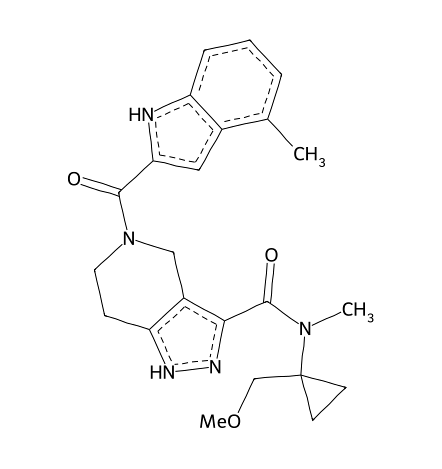 COCC1(N(C)C(=O)c2n[nH]c3c2CN(C(=O)c2cc4c(C)cccc4[nH]2)CC3)CC1